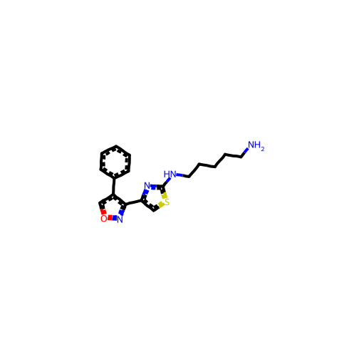 NCCCCCNc1nc(-c2nocc2-c2ccccc2)cs1